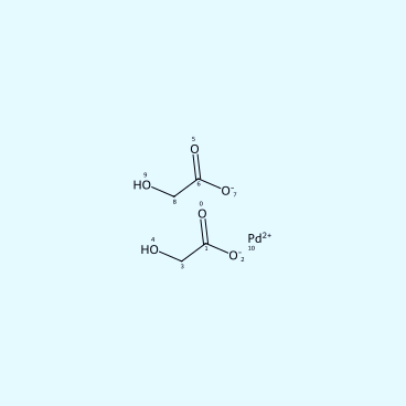 O=C([O-])CO.O=C([O-])CO.[Pd+2]